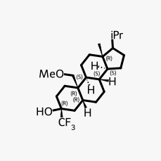 COC[C@]12CC[C@](O)(C(F)(F)F)C[C@H]1CC[C@@H]1[C@@H]2CC[C@]2(C)C(C(C)C)CC[C@@H]12